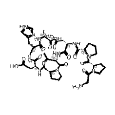 CC(C)[C@H](NC(=O)[C@H](CC(=O)O)NC(=O)[C@@H]1CCCN1C(=O)[C@@H]1CCCN1C(=O)CN)C(=O)N1CCC[C@H]1C(=O)N[C@@H](CC(=O)O)C(=O)N[C@@H](Cc1c[nH]cn1)C(=O)N[C@@H](C)C(=O)O